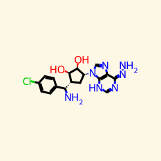 N/N=c1/nc[nH]c2c1ncn2[C@@H]1C[C@H](C(N)c2ccc(Cl)cc2)[C@@H](O)[C@H]1O